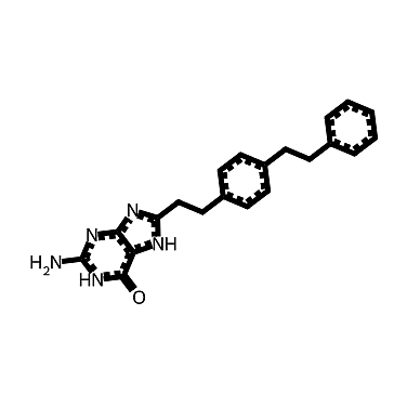 Nc1nc2nc(CCc3ccc(CCc4ccccc4)cc3)[nH]c2c(=O)[nH]1